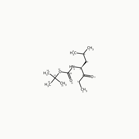 CCC(=O)[C@H](CC(C)C)NC(=O)OC(C)(C)C